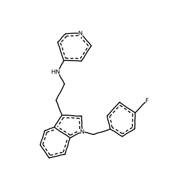 Fc1ccc(Cn2cc(CCNc3ccncc3)c3ccccc32)cc1